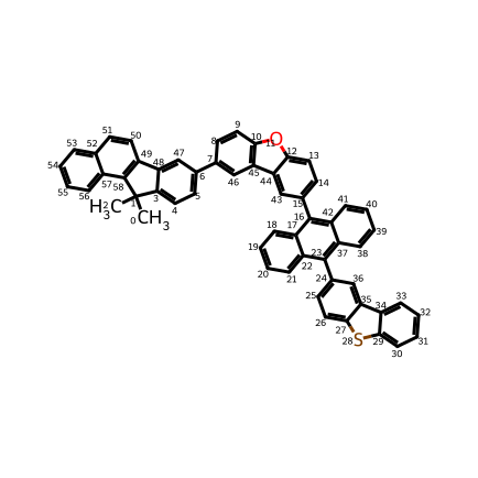 CC1(C)c2ccc(-c3ccc4oc5ccc(-c6c7ccccc7c(-c7ccc8sc9ccccc9c8c7)c7ccccc67)cc5c4c3)cc2-c2ccc3ccccc3c21